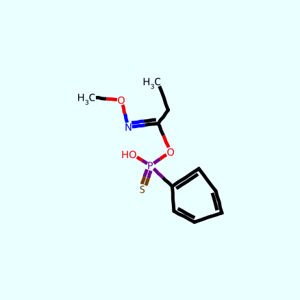 CCC(=NOC)OP(O)(=S)c1ccccc1